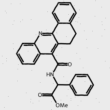 COC(=O)C(NC(=O)c1c2c(nc3ccccc13)-c1ccccc1CC2)c1ccccc1